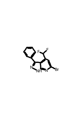 FC(F)c1cc(Br)nc2[nH]nc(-c3ccccc3)c12